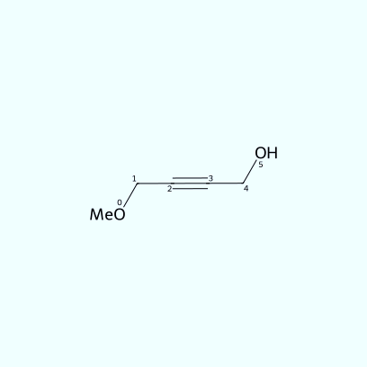 COCC#CCO